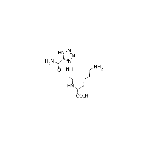 N=CCNC(CCCCN)C(=O)O.NC(=O)c1nnn[nH]1